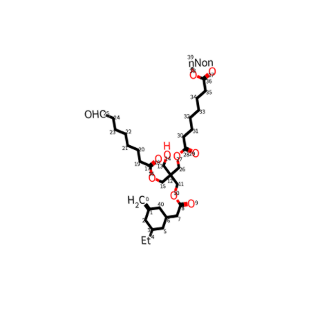 C=C1CC(CC)CC(CC(=O)OCC(CO)(COC(=O)CCCCCCC=O)COC(=O)CCCCCCC(=O)OCCCCCCCCC)C1